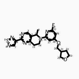 CC1c2cnc(-c3cnsn3)nc2CCN1c1cc(OCC2CCOC2)cc(F)n1